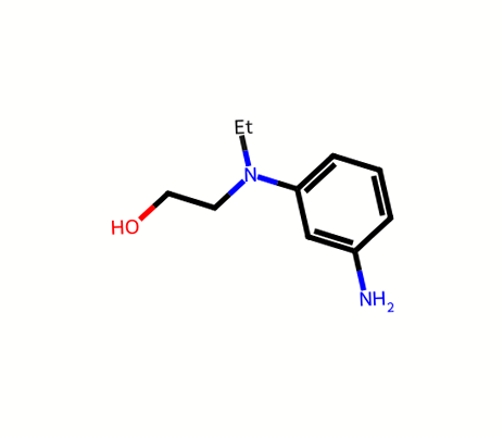 CCN(CCO)c1cccc(N)c1